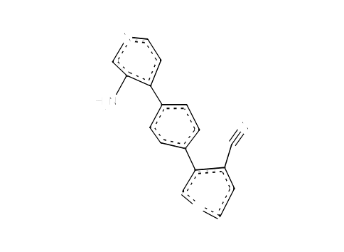 N#Cc1ccccc1-c1ccc(-c2ccncc2N)cc1